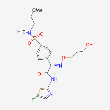 COCCN(C)S(=O)(=O)c1ccc(/C(=N\OCCCO)C(=O)Nc2ncc(F)s2)cc1